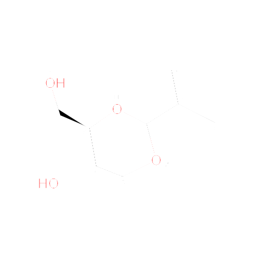 CC(C)C1OC[C@H](O)[C@@H](CO)O1